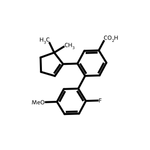 COc1ccc(F)c(-c2ccc(C(=O)O)cc2C2=CCCC2(C)C)c1